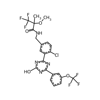 COC(C)(C(=O)NCc1ccc(Cl)c(-c2nc(O)nc(-c3cccc(OC(F)(F)F)c3)n2)c1)C(F)(F)F